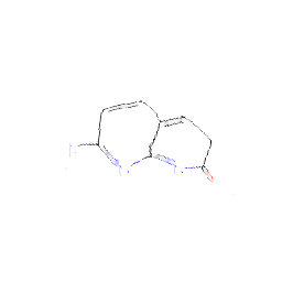 Nc1ccc2c(n1)=NC(=O)CC=2